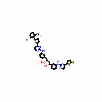 Cc1cccc(C)c1-c1ccc(-c2ccnc(Nc3cccc(CC(O)CC(O)c4cccc(Nc5nccc(-c6ccc(Br)s6)n5)c4)c3)n2)s1